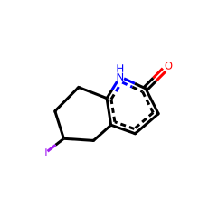 O=c1ccc2c([nH]1)CCC(I)C2